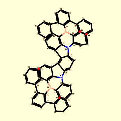 c1cc2c3c4c5cccc6c5n(c4ccc3n3c2c(c#1)B(c1c(C2=CC=CCC2)cccc1-c1ccccc1)c1ccccc1-3)-c1ccccc1B6c1c(-c2ccccc2)cccc1-c1ccccc1